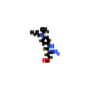 CCN(CC)c1ccc(NC(=S)N(N)CCO)cc1